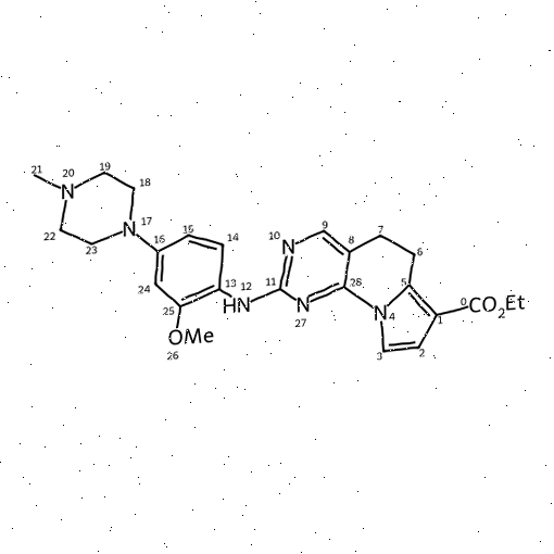 CCOC(=O)c1ccn2c1CCc1cnc(Nc3ccc(N4CCN(C)CC4)cc3OC)nc1-2